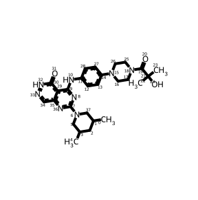 CC1CC(C)CN(c2nc(Nc3ccc(N4CCN(C(=O)C(C)(C)O)CC4)cc3)c3c(=O)[nH]ncc3n2)C1